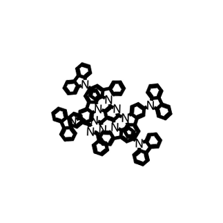 c1ccc(-c2nc(-c3ccccc3)nc(-c3c(-n4c5ccccc5c5cc(-n6c7ccccc7c7ccccc76)ccc54)c(-n4c5ccccc5c5cc(-n6c7ccccc7c7ccccc76)ccc54)nc(-n4c5ccccc5c5cc(-n6c7ccccc7c7ccccc76)ccc54)c3-n3c4ccccc4c4cc(-n5c6ccccc6c6ccccc65)ccc43)n2)cc1